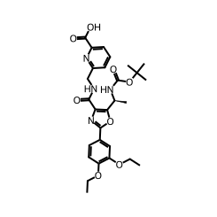 CCOc1ccc(-c2nc(C(=O)NCc3cccc(C(=O)O)n3)c([C@H](C)NC(=O)OC(C)(C)C)o2)cc1OCC